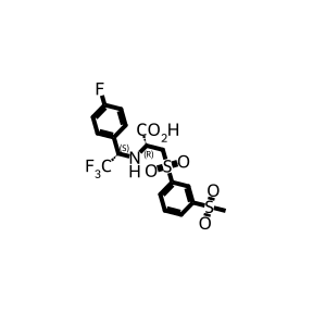 CS(=O)(=O)c1cccc(S(=O)(=O)C[C@H](N[C@@H](c2ccc(F)cc2)C(F)(F)F)C(=O)O)c1